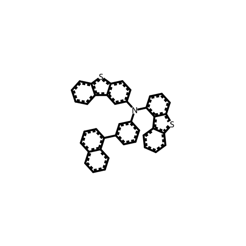 c1cc(-c2cccc3ccccc23)cc(N(c2ccc3sc4ccccc4c3c2)c2cccc3sc4ccccc4c23)c1